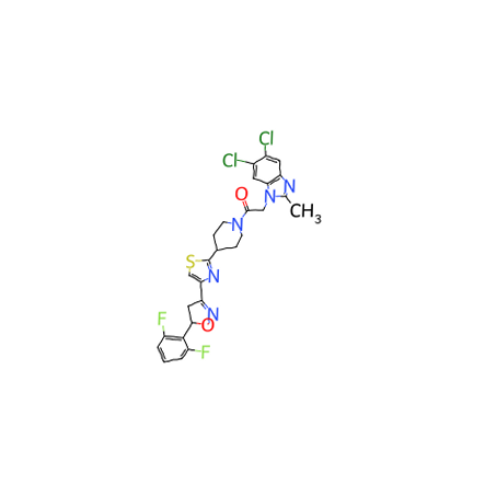 Cc1nc2cc(Cl)c(Cl)cc2n1CC(=O)N1CCC(c2nc(C3=NOC(c4c(F)cccc4F)C3)cs2)CC1